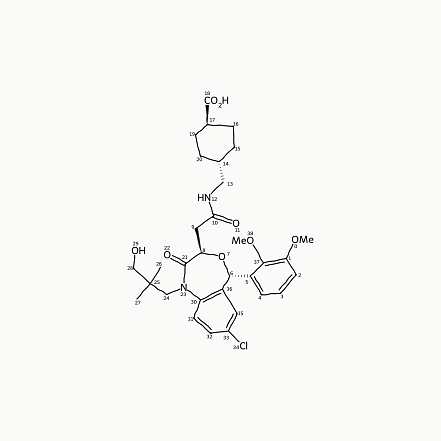 COc1cccc([C@H]2O[C@H](CC(=O)NC[C@H]3CC[C@H](C(=O)O)CC3)C(=O)N(CC(C)(C)CO)c3ccc(Cl)cc32)c1OC